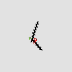 CCCCCCCCCCCCC(F)=C(C)C(=O)OCCCCCCC